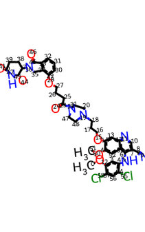 COc1cc(Nc2c(C#N)cnc3cc(OCCCN4CCN(C(=O)CCCOc5cccc6c5CN(C5CCC(=O)NC5=O)C6=O)CC4)c(OC)cc23)c(Cl)cc1Cl